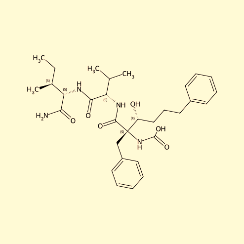 CC[C@H](C)[C@H](NC(=O)[C@@H](NC(=O)[C@@](Cc1ccccc1)(NC(=O)O)[C@H](O)CCCc1ccccc1)C(C)C)C(N)=O